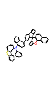 c1ccc(N(c2ccc(-c3ccc4c(c3)C3(c5ccccc5Oc5c3ccc3ccccc53)c3ccccc3-4)c3ccccc23)c2cccc3sc4ccccc4c23)cc1